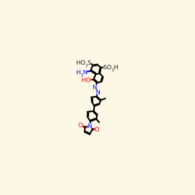 Cc1cc(-c2ccc(N3C(=O)C=CC3=O)c(C)c2)ccc1/N=N/c1ccc2c(S(=O)(=O)O)cc(S(=O)(=O)O)c(N)c2c1O